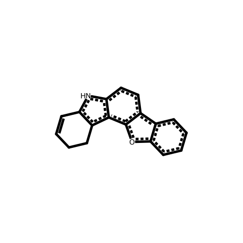 C1=Cc2[nH]c3ccc4c5ccccc5oc4c3c2CC1